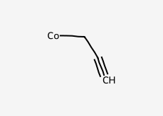 C#C[CH2][Co]